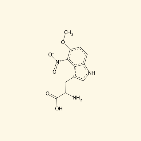 COc1ccc2[nH]cc(CC(N)C(=O)O)c2c1[N+](=O)[O-]